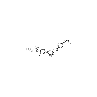 CCOC(COc1ccc(OC(F)(F)F)cc1)CSc1ccc(OC(C)(C)C(=O)O)c(C)c1